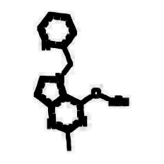 CCCCOc1nc(C)nc2ccn(Cc3ccccn3)c12